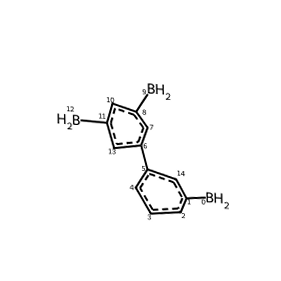 Bc1cccc(-c2cc(B)cc(B)c2)c1